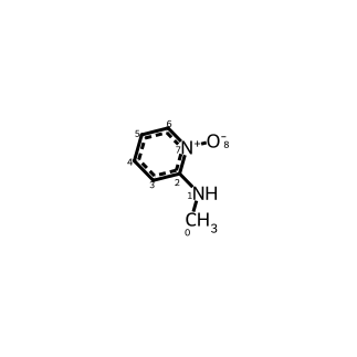 CNc1cccc[n+]1[O-]